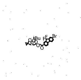 CC1(CN(CC(=O)OCC(=O)c2ccc3c(c2)C(F)(F)c2cc(Br)ccc2-3)C(=O)OC(C)(C)C)CC1